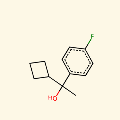 CC(O)(c1ccc(F)cc1)C1CCC1